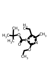 CCOc1nc(C)c(CC)n1C(=O)OC(C)(C)C